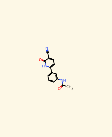 CC(=O)Nc1cccc(-c2ccc(C#N)c(=O)[nH]2)c1